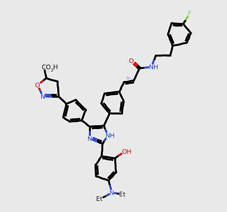 CCN(CC)c1ccc(-c2nc(-c3ccc(C4=NOC(C(=O)O)C4)cc3)c(-c3ccc(/C=C/C(=O)NCCc4ccc(F)cc4)cc3)[nH]2)c(O)c1